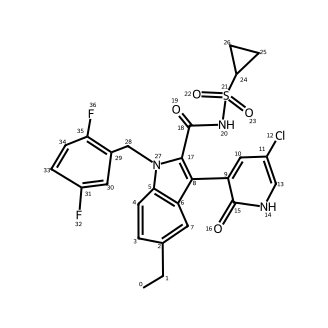 CCc1ccc2c(c1)c(-c1cc(Cl)c[nH]c1=O)c(C(=O)NS(=O)(=O)C1CC1)n2Cc1cc(F)ccc1F